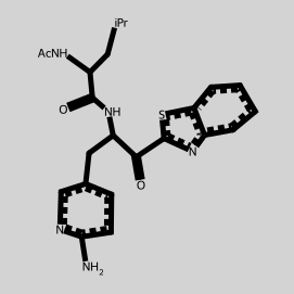 CC(=O)NC(CC(C)C)C(=O)NC(Cc1ccc(N)nc1)C(=O)c1nc2ccccc2s1